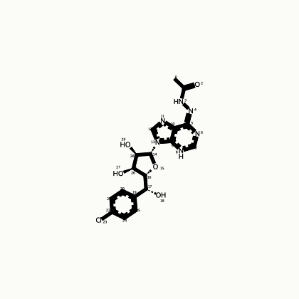 CC(=O)N/N=c1/nc[nH]c2c1ncn2[C@@H]1O[C@H]([C@H](O)c2ccc(Cl)cc2)[C@@H](O)[C@H]1O